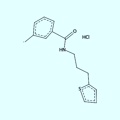 Cl.[CH2]c1cccc(C(=O)NCCCc2cccs2)c1